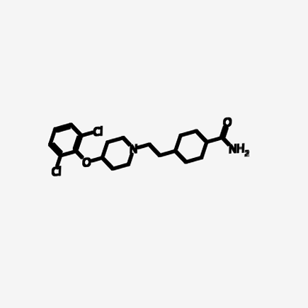 NC(=O)C1CCC(CCN2CCC(Oc3c(Cl)cccc3Cl)CC2)CC1